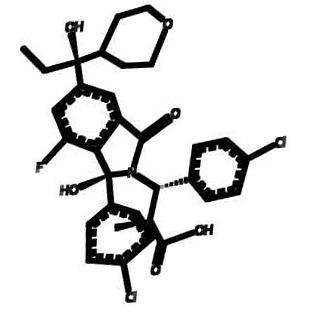 CC[C@@](O)(c1cc(F)c2c(c1)C(=O)N([C@H](c1ccc(Cl)cc1)[C@H](C)C(=O)O)[C@]2(O)c1ccc(Cl)cc1)C1CCOCC1